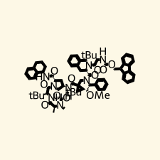 COC[C@@H](c1ccccc1)N(CC1(C(=O)N[C@H]2C[C@@H](C(=O)N[C@@H]3CCCc4ccccc43)N(C(=O)[C@@H](NC(=O)[C@H](C)N(C)C(=O)OC(C)(C)C)C(C)(C)C)C2)CC1)C(=O)[C@@H]1Cc2ccccc2CN1C(=O)[C@@H](NC(=O)OCC1c2ccccc2-c2ccccc21)C(C)(C)C